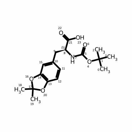 CC(C)(C)OC(=O)N[C@@H](Cc1ccc2c(c1)OC(C)(C)O2)C(=O)O